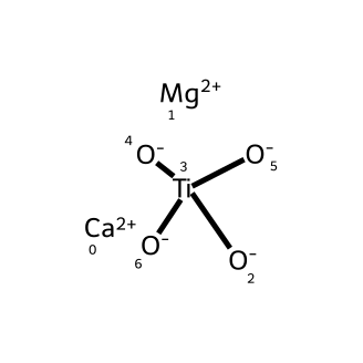 [Ca+2].[Mg+2].[O-][Ti]([O-])([O-])[O-]